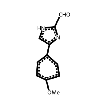 COc1ccc(-c2c[nH]c(C=O)n2)cc1